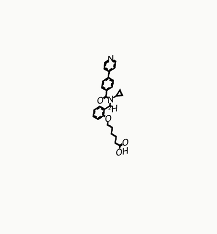 [2H]C(c1ccccc1OCCCCCC(=O)O)N(C(=O)c1ccc(-c2ccncc2)cc1)C1CC1